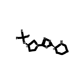 FC(F)(F)O[C@H]1CCN(c2nnc([C@H]3CCCCN3)o2)C1